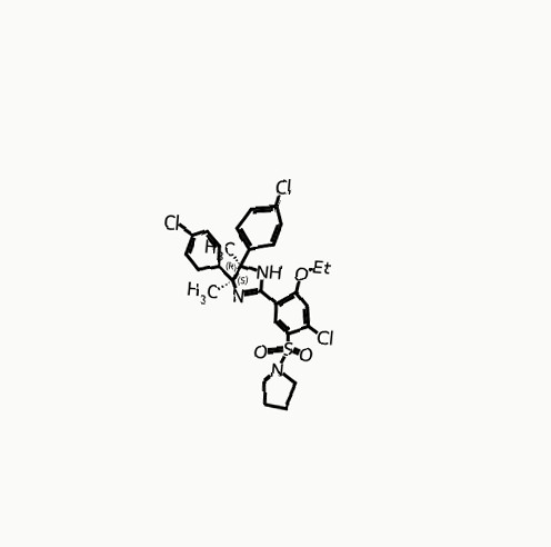 CCOc1cc(Cl)c(S(=O)(=O)N2CCCC2)cc1C1=N[C@@](C)(C2C=CC(Cl)=CC2)[C@@](C)(c2ccc(Cl)cc2)N1